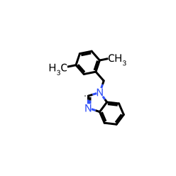 Cc1ccc(C)c(Cn2[c]nc3ccccc32)c1